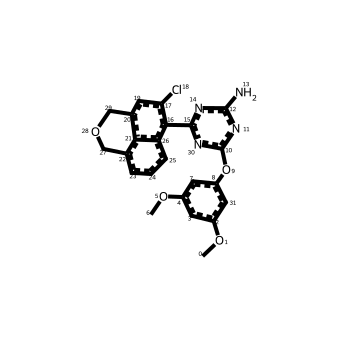 COc1cc(OC)cc(Oc2nc(N)nc(-c3c(Cl)cc4c5c(cccc35)COC4)n2)c1